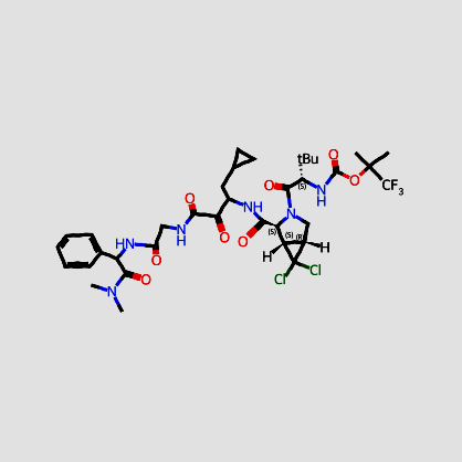 CN(C)C(=O)C(NC(=O)CNC(=O)C(=O)C(CC1CC1)NC(=O)[C@@H]1[C@@H]2[C@H](CN1C(=O)[C@@H](NC(=O)OC(C)(C)C(F)(F)F)C(C)(C)C)C2(Cl)Cl)c1ccccc1